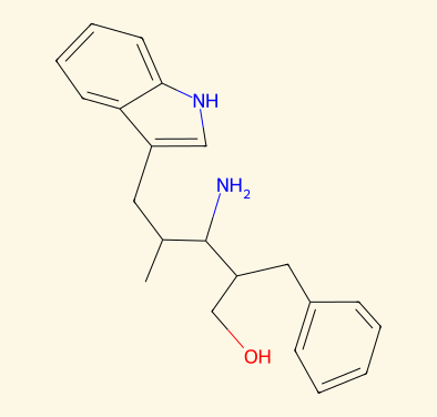 CC(Cc1c[nH]c2ccccc12)C(N)C(CO)Cc1ccccc1